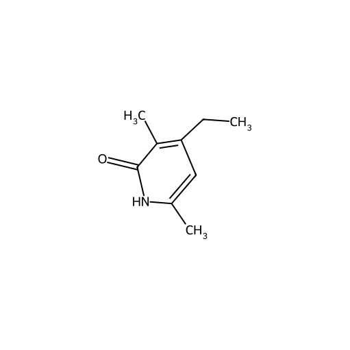 CCc1cc(C)[nH]c(=O)c1C